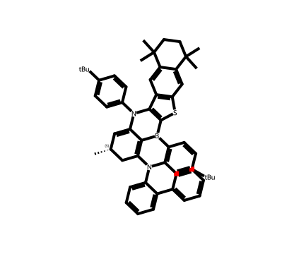 C[C@@H]1C=C2C3=C(C1)N(c1ccccc1-c1ccccc1)c1cc(C(C)(C)C)ccc1B3c1sc3cc4c(cc3c1N2c1ccc(C(C)(C)C)cc1)C(C)(C)CCC4(C)C